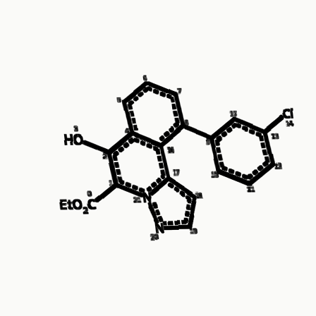 CCOC(=O)c1c(O)c2cccc(-c3cccc(Cl)c3)c2c2ccnn12